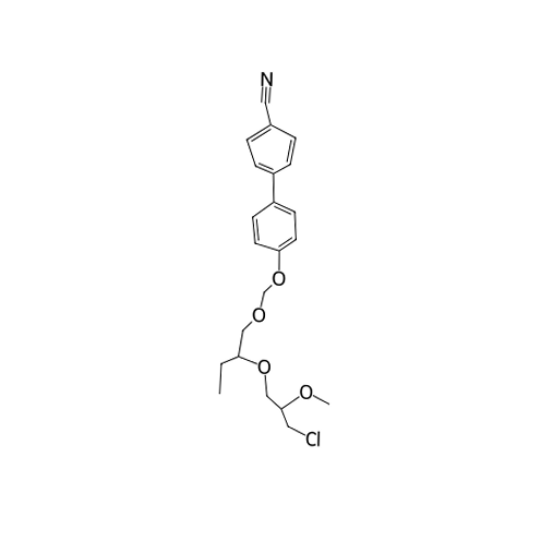 CCC(COCOc1ccc(-c2ccc(C#N)cc2)cc1)OCC(CCl)OC